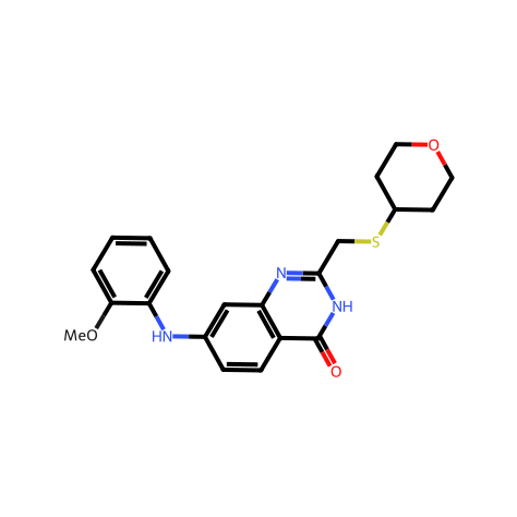 COc1ccccc1Nc1ccc2c(=O)[nH]c(CSC3CCOCC3)nc2c1